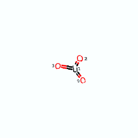 [O]=[Li](=[O])=[O]